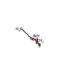 Br.CCCCCCCCCCCCCCCCOc1ccc(CCN(C(C)=O)c2cccc(CN3C=CSC3)c2)cc1